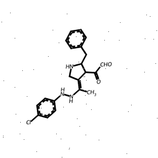 CC(NNc1ccc(Cl)cc1)=C1CNC(Cc2ccccc2)C1C(=O)C=O